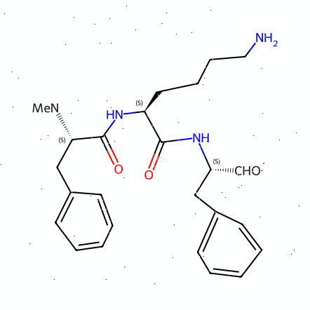 CN[C@@H](Cc1ccccc1)C(=O)N[C@@H](CCCCN)C(=O)N[C@H]([C]=O)Cc1ccccc1